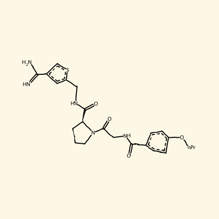 CCCOc1ccc(C(=O)NCC(=O)N2CCC[C@H]2C(=O)NCc2cc(C(=N)N)cs2)cc1